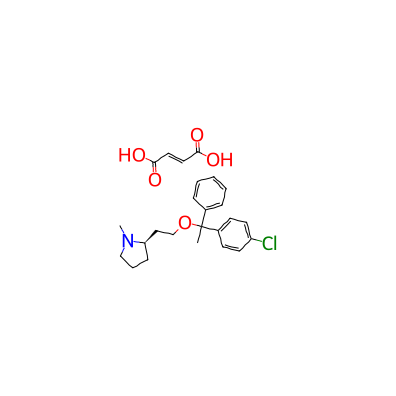 CN1CCC[C@@H]1CCOC(C)(c1ccccc1)c1ccc(Cl)cc1.O=C(O)/C=C/C(=O)O